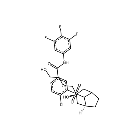 O=C(Nc1cc(F)c(F)c(F)c1)c1ccc(Cl)c(S(=O)(=O)C2C3CC[C@H]2C[C@](O)(COCCO)C3)c1